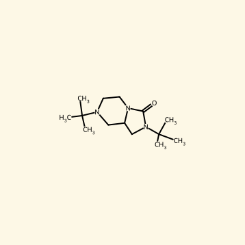 CC(C)(C)N1CCN2C(=O)N(C(C)(C)C)CC2C1